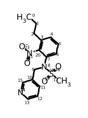 CCCc1cccc(N(Cc2cccnc2)S(C)(=O)=O)c1[N+](=O)[O-]